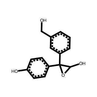 OCc1cccc(C2(c3ccc(O)cc3)OC2O)c1